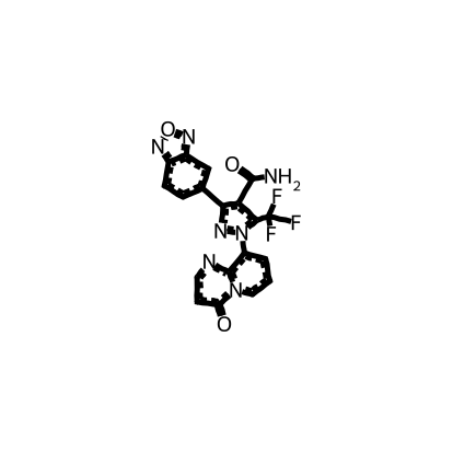 NC(=O)c1c(-c2ccc3nonc3c2)nn(-c2cccn3c(=O)ccnc23)c1C(F)(F)F